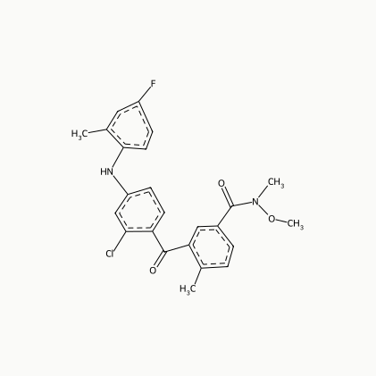 CON(C)C(=O)c1ccc(C)c(C(=O)c2ccc(Nc3ccc(F)cc3C)cc2Cl)c1